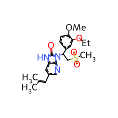 CCOc1cc(C(CS(C)(=O)=O)n2c(=O)[nH]c3cc(C=C(C)C)cnc32)ccc1OC